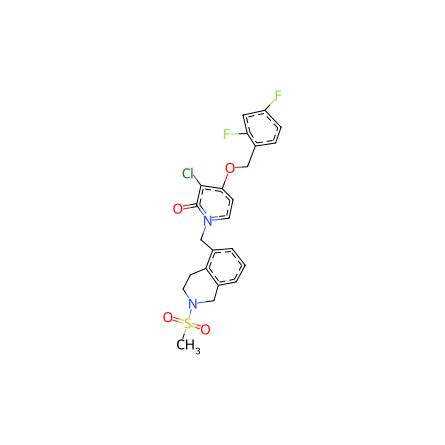 CS(=O)(=O)N1CCc2c(cccc2Cn2ccc(OCc3ccc(F)cc3F)c(Cl)c2=O)C1